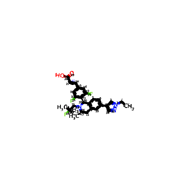 CCn1cc(-c2ccc3c(c2)C[C@H](C)N(CC(C)(C)F)[C@H]3c2c(F)cc(/C=C/C(=O)O)cc2F)cn1